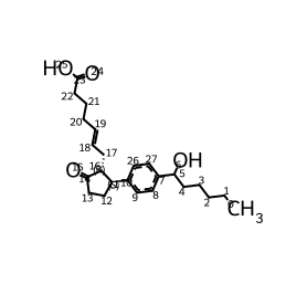 CCCCCC(O)c1ccc([C@H]2CCC(=O)[C@@H]2CC=CCCCC(=O)O)cc1